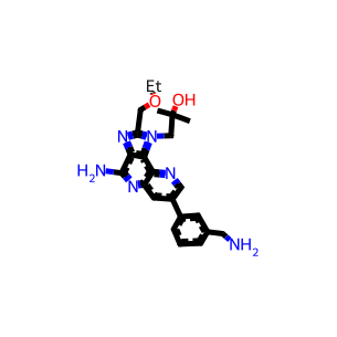 CCOCc1nc2c(N)nc3cc(-c4cccc(CN)c4)cnc3c2n1CC(C)(C)O